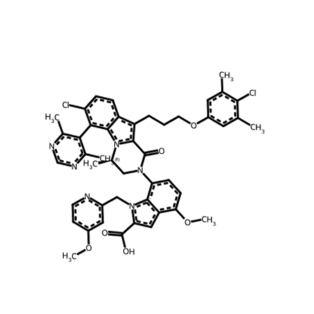 COc1ccnc(Cn2c(C(=O)O)cc3c(OC)ccc(N4C[C@@H](C)n5c(c(CCCOc6cc(C)c(Cl)c(C)c6)c6ccc(Cl)c(-c7c(C)ncnc7C)c65)C4=O)c32)c1